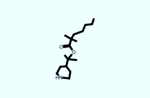 CCCCCC(C)(C)C(=O)OC(C)(C)C1CCNCC1